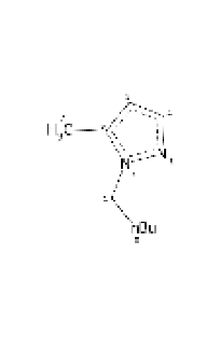 CCCCCn1nccc1C